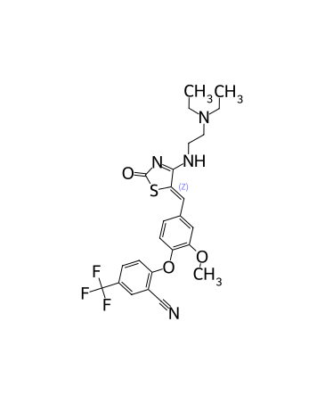 CCN(CC)CCNC1=NC(=O)S/C1=C\c1ccc(Oc2ccc(C(F)(F)F)cc2C#N)c(OC)c1